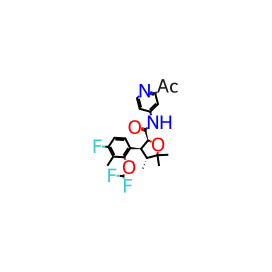 CC(=O)c1cc(NC(=O)[C@H]2OC(C)(C)[C@H](C)[C@H]2c2ccc(F)c(C)c2OC(F)F)ccn1